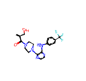 C=C(CO)C(=O)N1CCN(c2nccnc2Nc2ccc(C(F)(F)F)cc2)CC1